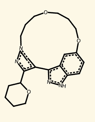 c1cc2[nH]nc3c2cc1OCCCOCCCn1cc-3c(C2CCCCO2)n1